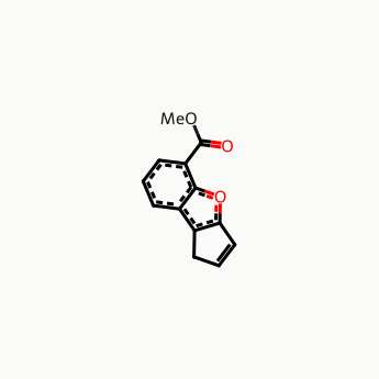 COC(=O)c1cccc2c3c(oc12)C=CC3